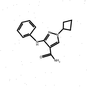 NC(=O)c1cn(C2CCC2)nc1Nc1ccccc1